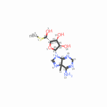 CCCCSC(O)[C@H]1O[C@@H](N2C=NC3(C)C(N)=NCN=C23)[C@H](O)[C@@H]1O